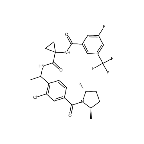 CC(NC(=O)C1(NC(=O)c2cc(F)cc(C(F)(F)F)c2)CC1)c1ccc(C(=O)N2[C@H](C)CC[C@H]2C)cc1Cl